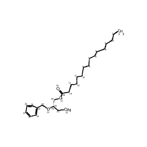 CCCCCCCCCCCCCCCC(=O)OC[C@H](CO)OCc1ccccc1